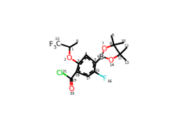 CC(Oc1cc(B2OC(C)(C)C(C)(C)O2)c(F)cc1C(=O)Cl)C(F)(F)F